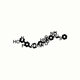 O=C(NS(=O)(=O)c1ccc(NCCSc2ccccc2)c([N+](=O)[O-])c1)c1ccc(N2CCN(Cc3ccc(-c4cncc(O)c4)c(F)c3)CC2)nn1